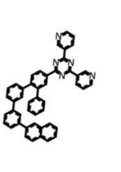 c1ccc(-c2cc(-c3nc(-c4cccnc4)nc(-c4cccnc4)n3)ccc2-c2cccc(-c3cccc(-c4ccc5ccccc5c4)c3)c2)cc1